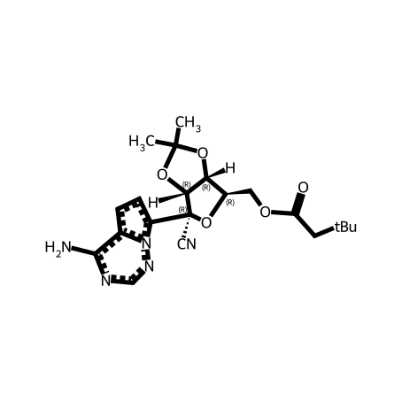 CC(C)(C)CC(=O)OC[C@H]1O[C@@](C#N)(c2ccc3c(N)ncnn23)[C@@H]2OC(C)(C)O[C@@H]21